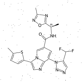 Cc1noc([C@@H](C)NC(=O)c2cc(-n3nncc3C(F)F)c3ncc(-c4ccc(C)s4)n3c2)n1